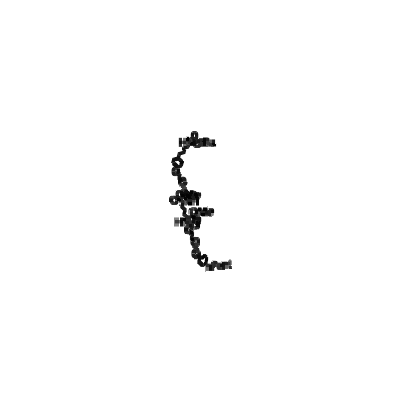 CCCCCc1ccc(OCCOCCOC(=O)NC(CCCC(NC(=O)OCCOCCOc2ccc(CCCCNC(=O)OC(C)(C)C)cc2)C(=O)OC)C(=O)OC)cc1